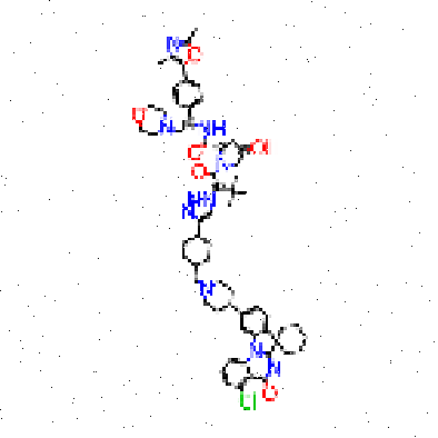 Cc1nc(C)c(-c2ccc([C@H](CN3CCOCC3)NC(=O)[C@@H]3C[C@@H](O)CN3C(=O)[C@@H](n3cc(C4CCC(CN5CCC(c6ccc7c(c6)-n6c(nc(=O)c8c(Cl)cccc86)C76CCCCC6)CC5)CC4)nn3)C(C)(C)C)cc2)o1